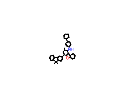 CC1C=C(c2ccc3c(c2)-c2ccccc2C3(C)C)c2oc3ccccc3c2C1Nc1ccc(-c2ccccc2)cc1